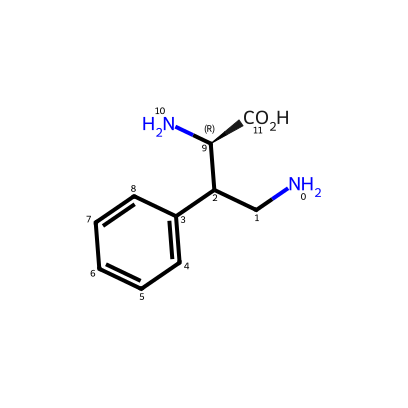 NCC(c1ccccc1)[C@@H](N)C(=O)O